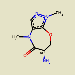 CN1C(=O)[C@@H](N)COc2c1cnn2C